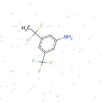 CC(F)(F)c1cc(N)cc(C(F)(F)F)c1